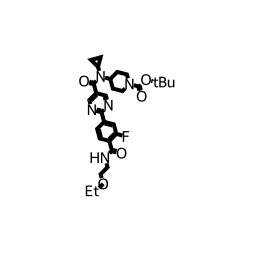 CCOCCNC(=O)c1ccc(-c2ncc(C(=O)N(C3CC3)C3CCN(C(=O)OC(C)(C)C)CC3)cn2)cc1F